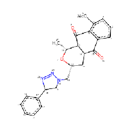 COc1cccc2c1C(=O)C1C(C[C@H](CN3CC(c4ccccc4)N=N3)O[C@@H]1C)C2=O